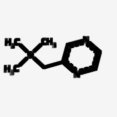 C[Si](C)(C)Cc1cnccn1